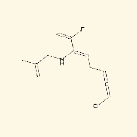 C=C(C)CN/C(=C\CC=C=CCl)C(=C)F